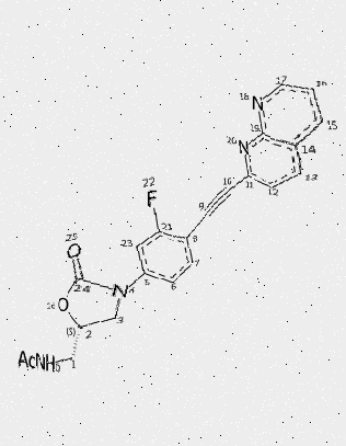 CC(=O)NC[C@H]1CN(c2ccc(C#Cc3ccc4cccnc4n3)c(F)c2)C(=O)O1